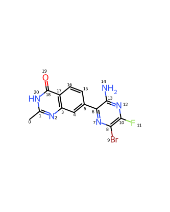 Cc1nc2cc(-c3nc(Br)c(F)nc3N)ccc2c(=O)[nH]1